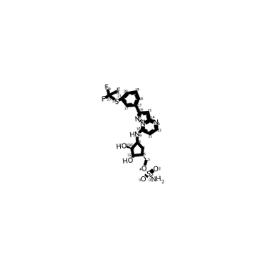 NS(=O)(=O)OC[C@H]1CC(Nc2ccnc3cc(-c4cccc(SC(F)(F)F)c4)nn23)[C@H](O)[C@@H]1O